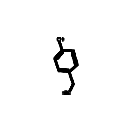 [CH]c1ccc(CCCCC)cc1